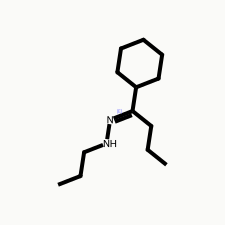 CCCN/N=C(\CCC)C1CCCCC1